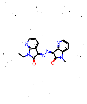 CCN1C(=O)/C(=N/N=C2\C(=O)N(C)c3cccnc32)c2cccnc21